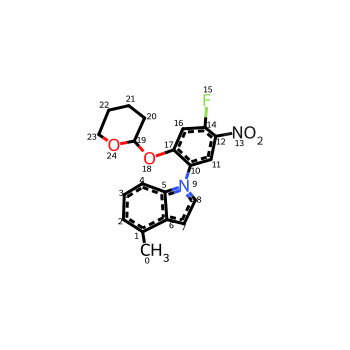 Cc1cccc2c1ccn2-c1cc([N+](=O)[O-])c(F)cc1OC1CCCCO1